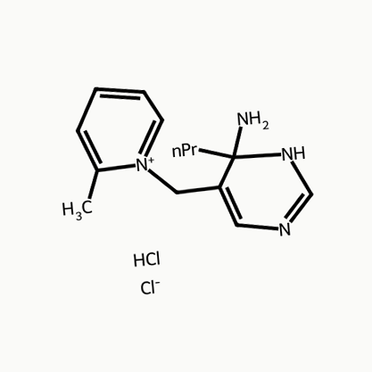 CCCC1(N)NC=NC=C1C[n+]1ccccc1C.Cl.[Cl-]